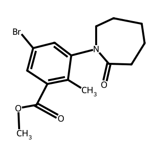 COC(=O)c1cc(Br)cc(N2CCCCCC2=O)c1C